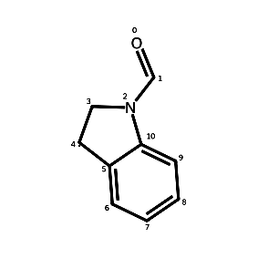 O=CN1C[CH]c2ccccc21